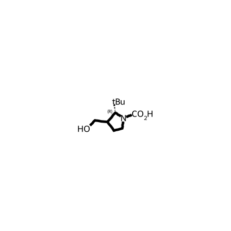 CC(C)(C)[C@H]1C(CO)CCN1C(=O)O